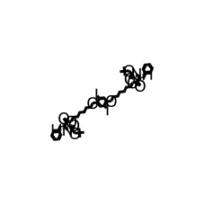 CC(C)(C)OC(=O)N[C@@H](Cc1ccccc1)C(=O)OCCCCCCOc1cc(I)c(OCCCCCCOC(=O)[C@H](Cc2ccccc2)NC(=O)OC(C)(C)C)cc1I